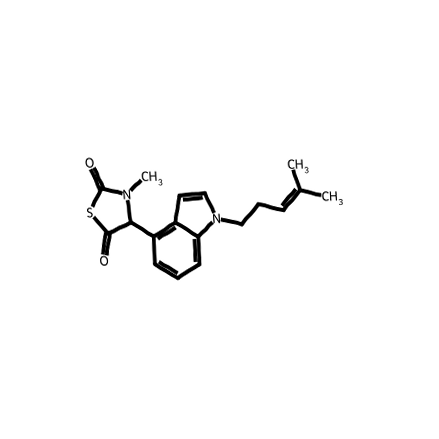 CC(C)=CCCn1ccc2c(C3C(=O)SC(=O)N3C)cccc21